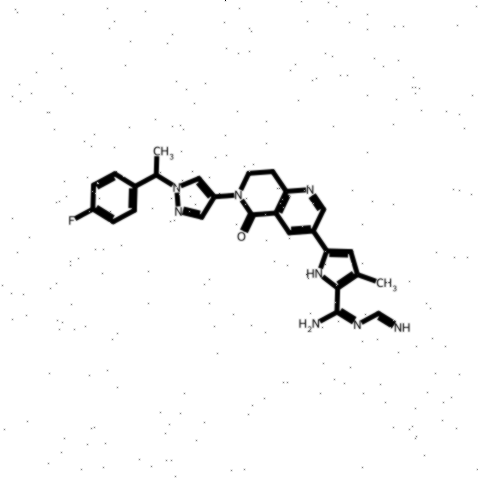 Cc1cc(-c2cnc3c(c2)C(=O)N(c2cnn(C(C)c4ccc(F)cc4)c2)CC3)[nH]c1/C(N)=N\C=N